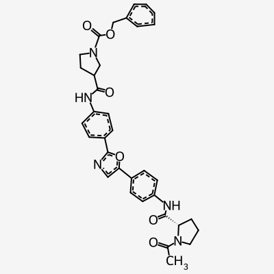 CC(=O)N1CCC[C@H]1C(=O)Nc1ccc(-c2cnc(-c3ccc(NC(=O)C4CCN(C(=O)OCc5ccccc5)C4)cc3)o2)cc1